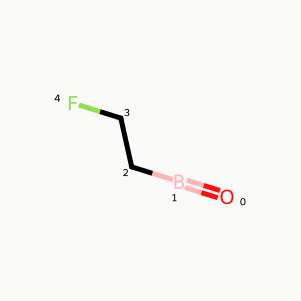 O=BCCF